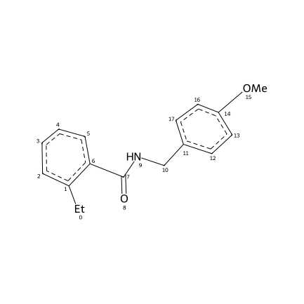 CCc1ccccc1C(=O)NCc1ccc(OC)cc1